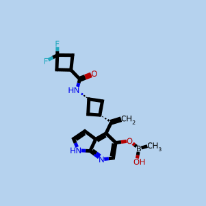 C=C(c1c(OB(C)O)cnc2[nH]ccc12)[C@H]1C[C@@H](NC(=O)C2CC(F)(F)C2)C1